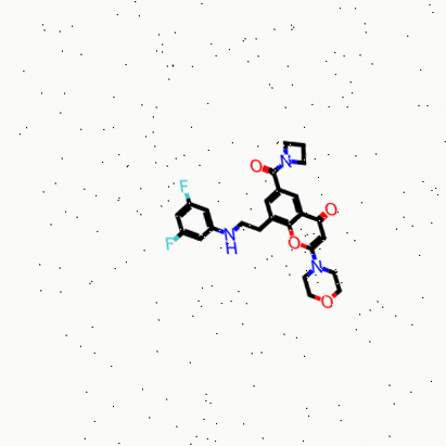 O=C(c1cc(CCNc2cc(F)cc(F)c2)c2oc(N3CCOCC3)cc(=O)c2c1)N1CCC1